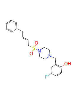 O=S(=O)(CC=CCc1ccccc1)N1CCN(Cc2cc(F)ccc2O)CC1